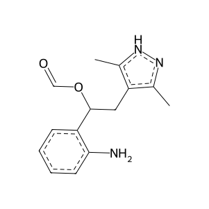 Cc1n[nH]c(C)c1CC(OC=O)c1ccccc1N